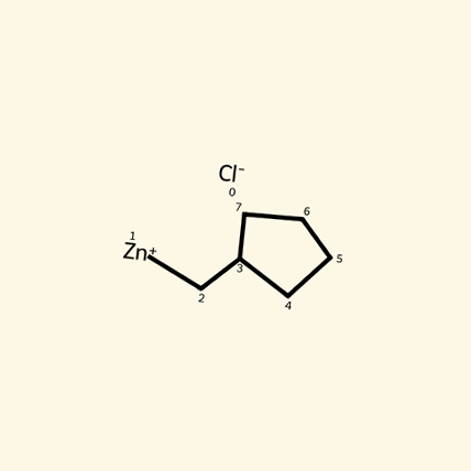 [Cl-].[Zn+][CH2]C1CCCC1